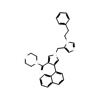 O=C(c1cn(Cc2cncn2CCc2ccccc2)cc1-c1cccc2ccccc12)N1CCOCC1